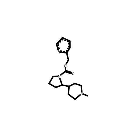 CN1CCC(C2CCCN2C(=O)OCc2ccccn2)CC1